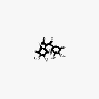 [2H]c1c(OC(C)=O)c([2H])c2oc(CC)c(C(=O)c3cc(Br)c(OC(C)=O)c(Br)c3)c2c1[2H]